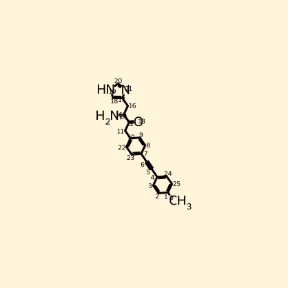 Cc1ccc(C#Cc2ccc(CC(=O)[C@@H](N)Cc3c[nH]cn3)cc2)cc1